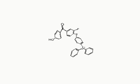 O=C(c1ccc(O)cc1)c1ccc(Sc2ccc([S+](c3ccccc3)c3ccccc3)cc2)c(F)c1